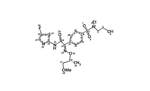 CCN(CCO)S(=O)(=O)c1ccc(/C(=N\O[C@H](C)COC)C(=O)Nc2ncc(F)s2)cc1